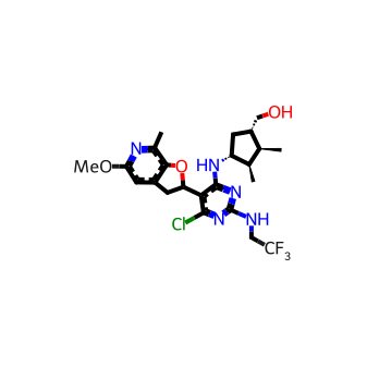 COc1cc2c(c(C)n1)OC(c1c(Cl)nc(NCC(F)(F)F)nc1N[C@@H]1C[C@H](CO)[C@@H](C)[C@H]1C)C2